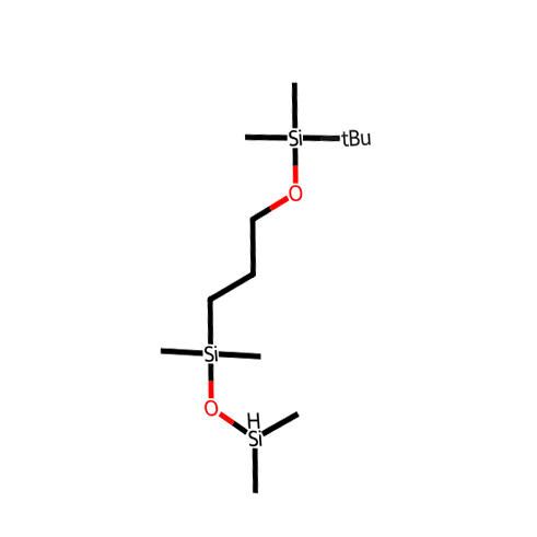 C[SiH](C)O[Si](C)(C)CCCO[Si](C)(C)C(C)(C)C